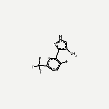 Nc1c[nH]nc1-c1nc(C(F)(F)F)ccc1F